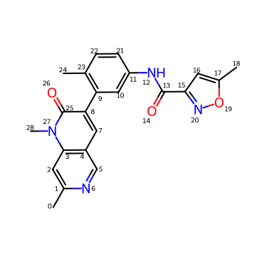 Cc1cc2c(cn1)cc(-c1cc(NC(=O)c3cc(C)on3)ccc1C)c(=O)n2C